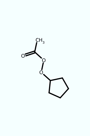 CC(=O)OOC1CCCC1